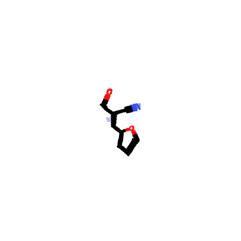 N#C/C([C]=O)=C\c1ccco1